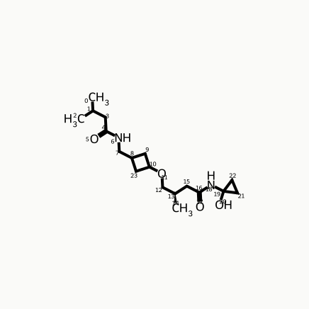 CC(C)CC(=O)NCC1CC(OC[C@H](C)CC(=O)NC2(O)CC2)C1